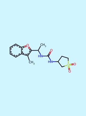 Cc1c(C(C)NC(=O)NC2CCS(=O)(=O)C2)oc2ccccc12